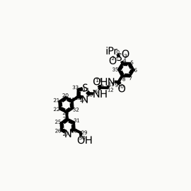 CC(C)S(=O)(=O)c1cccc(C(=O)NCC(=O)Nc2nc(-c3cccc(-c4ccnc(CO)c4)c3)cs2)c1